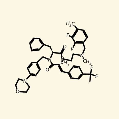 Cc1ccc(CN(C)CCN(C)C(=O)[C@H](Cc2ccccc2)N(Cc2ccc(N3CCOCC3)cc2)C(=O)/C=C/c2ccc(C(F)(F)F)cc2)c(F)c1F